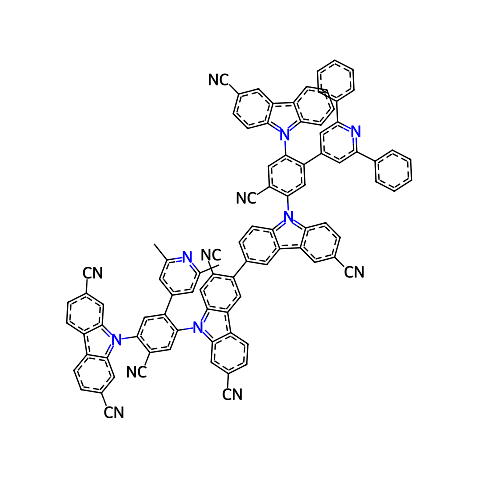 Cc1cc(-c2cc(-n3c4cc(C#N)ccc4c4ccc(C#N)cc43)c(C#N)cc2-n2c3cc(C#N)ccc3c3cc(-c4ccc5c(c4)c4cc(C#N)ccc4n5-c4cc(-c5cc(-c6ccccc6)nc(-c6ccccc6)c5)c(-n5c6ccccc6c6cc(C#N)ccc65)cc4C#N)c(C#N)cc32)cc(C)n1